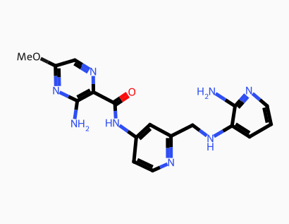 COc1cnc(C(=O)Nc2ccnc(CNc3cccnc3N)c2)c(N)n1